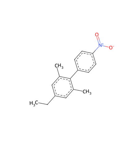 CCc1cc(C)c(-c2ccc([N+](=O)[O-])cc2)c(C)c1